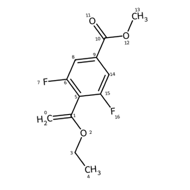 C=C(OCC)c1c(F)cc(C(=O)OC)cc1F